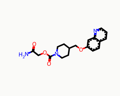 NC(=O)COC(=O)N1CCC(COc2ccc3cccnc3c2)CC1